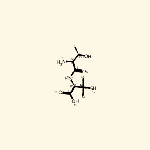 C[C@@H](O)[C@H](N)C(=O)N[C@H](C(=O)O)C(C)(C)S